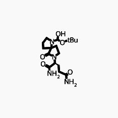 CC(C)(C)OC(O)N1CCCC12CCN([C@@H](CCC(N)=O)C(N)=O)C2=O